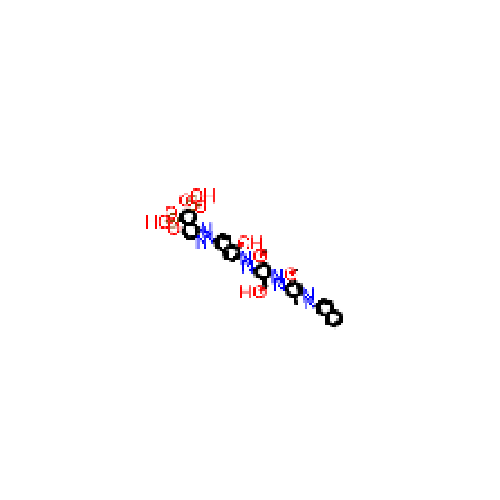 COc1cc(N=Nc2ccc3ccccc3c2)c(C)cc1N=Nc1cc(OC)c(N=Nc2ccc3cc(-n4nc5ccc6c(S(=O)(=O)O)cc(S(=O)(=O)O)cc6c5n4)ccc3c2O)cc1CO